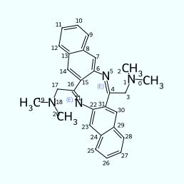 CN(C)C/C1=N/c2cc3ccccc3cc2/C(CN(C)C)=N\c2cc3ccccc3cc21